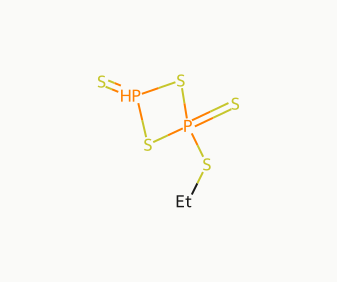 CCSP1(=S)S[PH](=S)S1